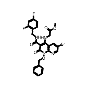 COC(=O)CNc1c(C(=O)NCc2ccc(F)cc2F)c(=O)n(OCc2ccccc2)c2ncc(Br)cc12